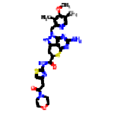 COc1c(C)cnc(CN2NC3CC(C(=O)Nc4nc(CC(=O)N5CCOCC5)cs4)Sc4nc(N)nc2c43)c1C